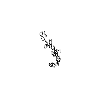 CCCOC/C=C/C(=O)c1cc2cc(Nc3nccc(-c4cc(OC5CCOCC5)ccn4)n3)ccc2[nH]1